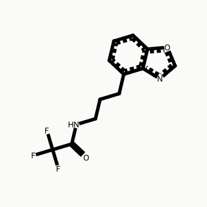 O=C(NCCCc1cccc2ocnc12)C(F)(F)F